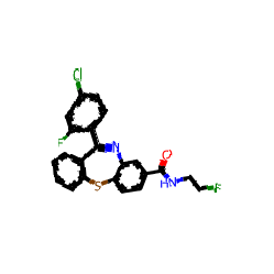 O=C(NCCF)c1ccc2c(c1)N=C(c1ccc(Cl)cc1F)c1ccccc1S2